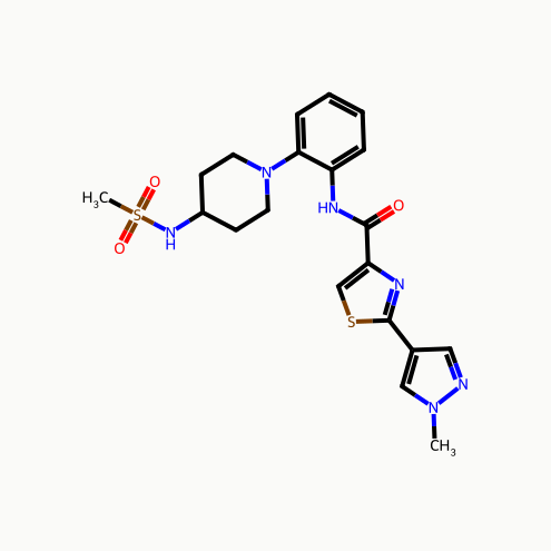 Cn1cc(-c2nc(C(=O)Nc3ccccc3N3CCC(NS(C)(=O)=O)CC3)cs2)cn1